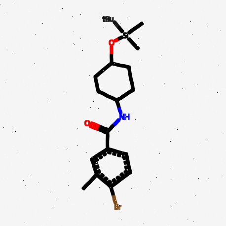 Cc1cc(C(=O)NC2CCC(O[Si](C)(C)C(C)(C)C)CC2)ccc1Br